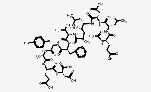 CC(=O)N[C@@H](CCC(=O)O)C(=O)N[C@@H](CC(C)C)C(=O)N[C@@H](CC(=O)O)C(=O)N[C@@H](CC(C)C)[C@@H](O)C[C@@H](C)C(=O)N[C@H](C(=O)N[C@@H](Cc1ccccc1)C(=O)N[C@@H](Cc1ccc(O)cc1)C(=O)N[C@@H](C)C(=O)N[C@@H](CCC(=O)O)C(=O)N[C@@H](CC(=O)O)C(=O)O)C(C)C